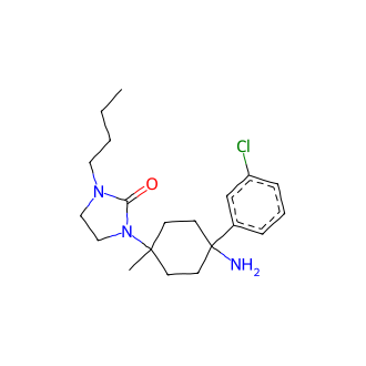 CCCCN1CCN(C2(C)CCC(N)(c3cccc(Cl)c3)CC2)C1=O